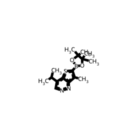 Cc1c(B2OC(C)(C)C(C)(C)O2)sc2c(C(C)C)cnnc12